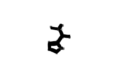 CC(c1ccco1)N(C)C